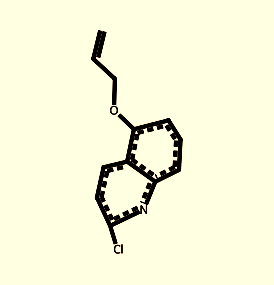 C=CCOc1cccc2nc(Cl)ccc12